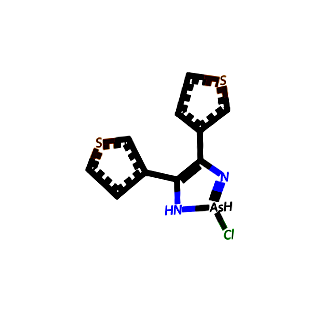 Cl[AsH]1=NC(c2ccsc2)=C(c2ccsc2)N1